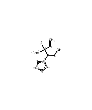 C=CC(F)(CCCCC)C(CO)n1cncn1